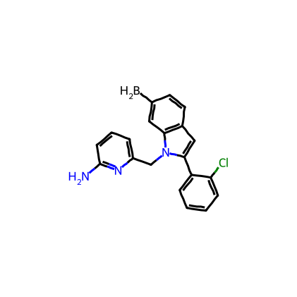 Bc1ccc2cc(-c3ccccc3Cl)n(Cc3cccc(N)n3)c2c1